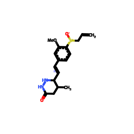 C=CC[S+]([O-])c1ccc(/C=C/C2NNC(=O)CC2C)cc1OC